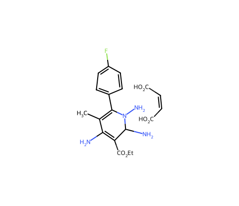 CCOC(=O)C1=C(N)C(C)=C(c2ccc(F)cc2)N(N)C1N.O=C(O)/C=C\C(=O)O